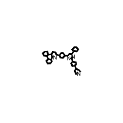 c1ccc(-c2cc(-c3ccc(-c4ccc5c6ccccc6c6ccccc6c5n4)cc3)nc(-c3ccc(-c4ccncc4)cc3)n2)cc1